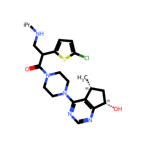 CC(C)NCC(C(=O)N1CCN(c2ncnc3c2[C@H](C)C[C@@H]3O)CC1)c1ccc(Cl)s1